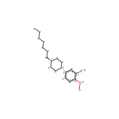 CCCCCCC[C@H]1CC[C@H](c2ccc(OC)c(F)c2)CC1